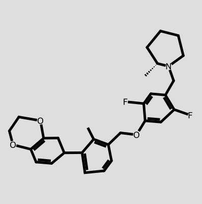 Cc1c(COc2cc(F)c(CN3CCCC[C@H]3C)cc2F)cccc1C1C=CC2=C(C1)OCCO2